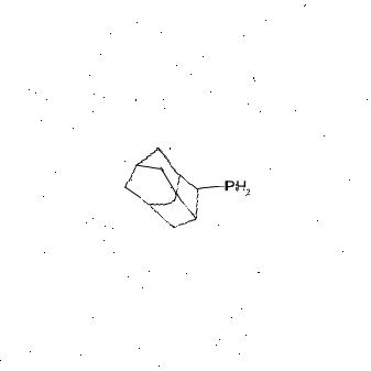 PC1C2CC3CC(C2)CC1C3